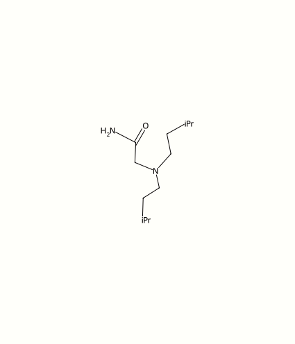 CC(C)CCN(CCC(C)C)CC(N)=O